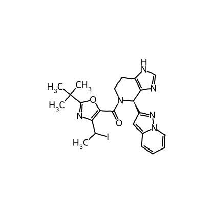 CC(I)c1nc(C(C)(C)C)oc1C(=O)N1CCc2[nH]cnc2[C@H]1c1cc2ccccn2n1